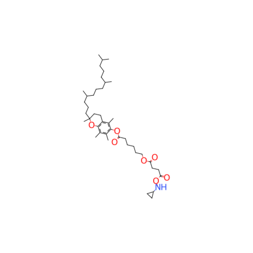 Cc1c(C)c2c(c(C)c1OC(=O)CCCCCOC(=O)CCC(=O)ONC1CC1)CCC(C)(CCCC(C)CCCC(C)CCCC(C)C)O2